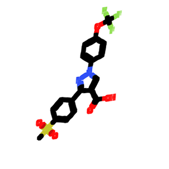 CS(=O)(=O)c1ccc(-c2nn(-c3ccc(OC(F)(F)F)cc3)cc2C(=O)O)cc1